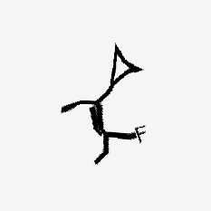 CC(F)=C(C)C1CC1